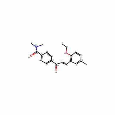 CCOc1ccc(C)cc1C=CC(=O)c1ccc(C(=O)N(C)C)cc1